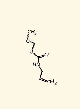 C=CCNC(=O)OCOC